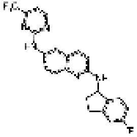 Fc1ccc2c(c1)CCC2Nc1ccc2cc(Nc3nccc(C(F)(F)F)n3)ccc2n1